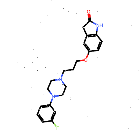 O=C1Cc2cc(OCCCN3CCN(c4cccc(F)c4)CC3)ccc2N1